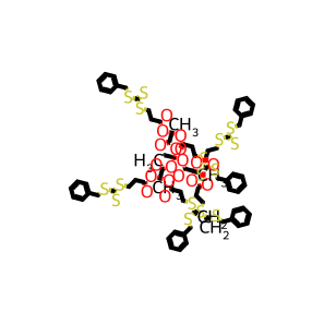 C=C(SCCC(=O)OC(C)(OC(=O)CCSC(=S)SCc1ccccc1)C(=O)OC(CC)(OC(=O)C(C)(OC(=O)CCSC(=C)SCc1ccccc1)OC(=O)CCSC(=S)SCc1ccccc1)OC(=O)C(C)(OC(=O)CCSC(=S)SCc1ccccc1)OC(=O)CCSC(=S)SCc1ccccc1)SCc1ccccc1